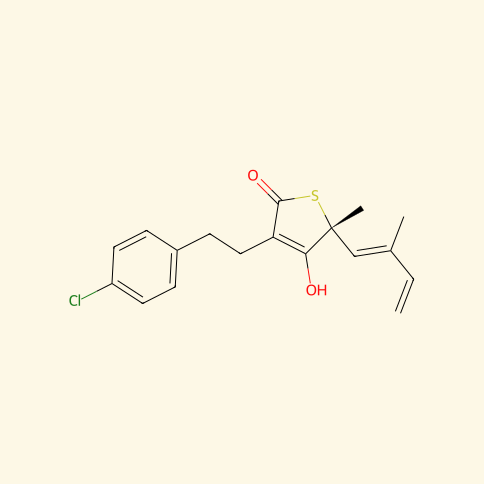 C=C/C(C)=C/[C@@]1(C)SC(=O)C(CCc2ccc(Cl)cc2)=C1O